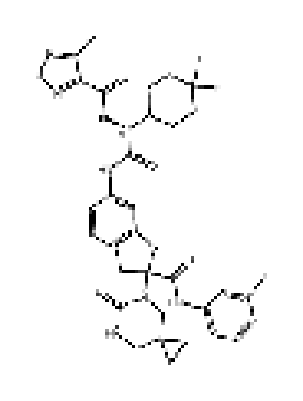 Cc1nonc1C(=O)N[C@H](C(=O)Nc1ccc2c(c1)CC(C(=O)Nc1cccc(F)c1)(N1CC3(CC3)CNC1=O)C2)C1CCC(F)(F)CC1